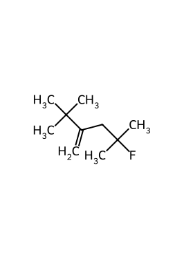 C=C(CC(C)(C)F)C(C)(C)C